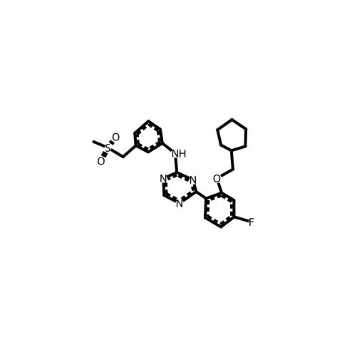 CS(=O)(=O)Cc1cccc(Nc2ncnc(-c3ccc(F)cc3OCC3CCCCC3)n2)c1